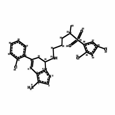 Bc1cnn2c1N=C(c1ccccc1Cl)CC2NCCCN(C)S(=O)(=O)c1cc(Cl)sc1Cl